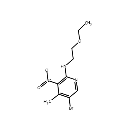 CCOCCNc1ncc(Br)c(C)c1[N+](=O)[O-]